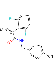 CO[C@H](C(=O)NCc1ccc(C#N)cc1)c1c(F)cccc1F